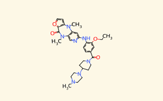 CCOc1cc(C(=O)N2CCC(N3CCN(C)CC3)CC2)ccc1Nc1cc2c(cn1)N(C)C(=O)c1occc1N2C